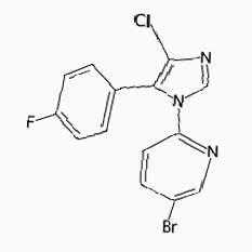 Fc1ccc(-c2c(Cl)ncn2-c2ccc(Br)cn2)cc1